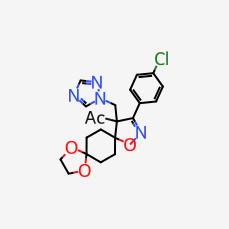 CC(=O)C1(Cn2cncn2)C(c2ccc(Cl)cc2)=NOC12CCC1(CC2)OCCO1